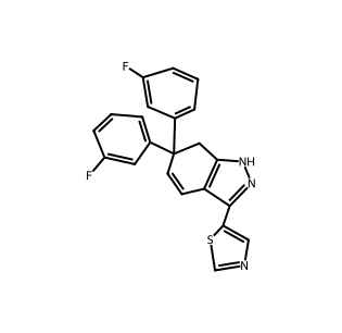 Fc1cccc(C2(c3cccc(F)c3)C=Cc3c(-c4cncs4)n[nH]c3C2)c1